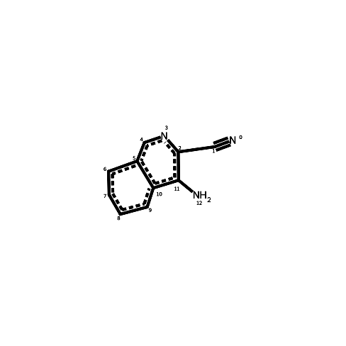 N#Cc1ncc2ccccc2c1N